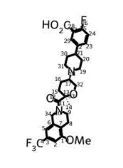 COc1cc(C(F)(F)F)cc2c1CCN(C(=O)[C@@]1(C)CC[C@@H](N3CCC(c4ccc(F)c(C(=O)O)c4)CC3)CO1)C2